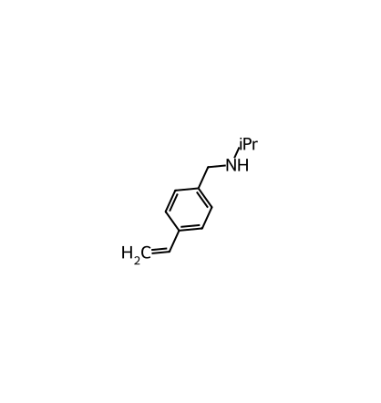 C=Cc1ccc(CNC(C)C)cc1